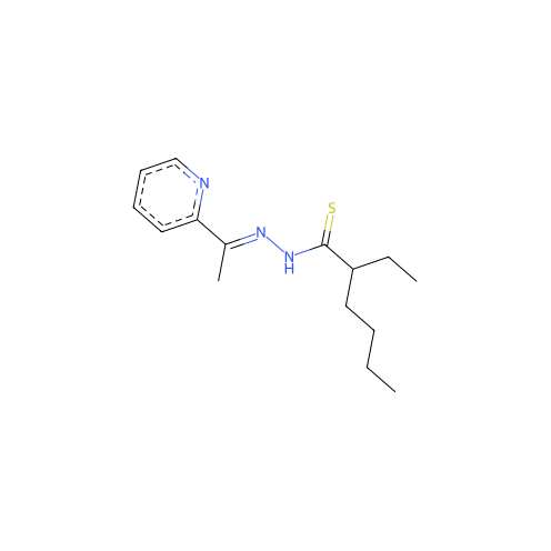 CCCCC(CC)C(=S)NN=C(C)c1ccccn1